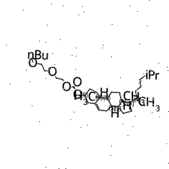 CCCCOCCOCCOC(=O)O[C@H]1CC[C@@]2(C)C(=CC[C@H]3[C@@H]4CC[C@H]([C@H](C)CCCC(C)C)[C@@]4(C)CC[C@@H]32)C1